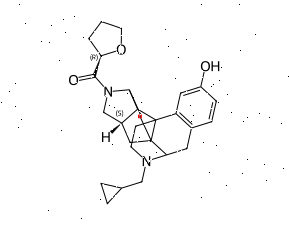 O=C([C@H]1CCCO1)N1C[C@H]2CC34CCC1C2C31CCN(CC2CC2)C4Cc2ccc(O)cc21